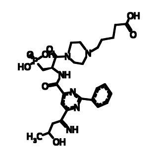 CC(O)CC(=N)c1cc(C(=O)N[C@@H](CP(=O)(O)O)C(=O)N2CCN(CCCCC(=O)O)CC2)nc(-c2ccccc2)n1